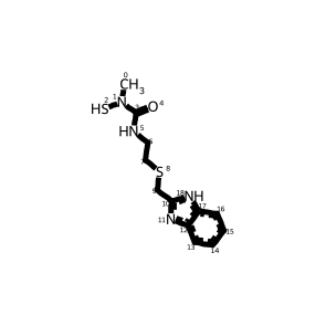 CN(S)C(=O)NCCSCc1nc2ccccc2[nH]1